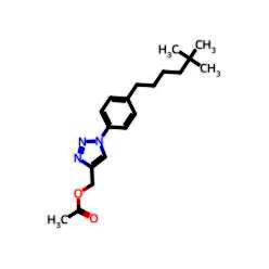 CC(=O)OCc1cn(-c2ccc(CCCCC(C)(C)C)cc2)nn1